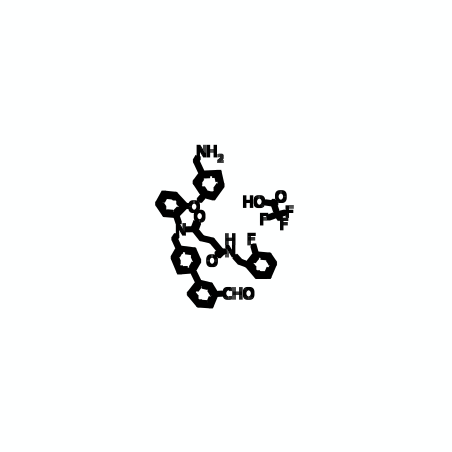 NCc1cccc(Oc2ccccc2N(Cc2ccc(-c3cccc(C=O)c3)cc2)C(=O)CCC(=O)NCc2ccccc2F)c1.O=C(O)C(F)(F)F